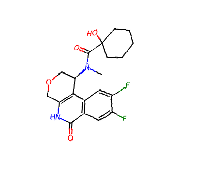 CN(C(=O)C1(O)CCCCC1)[C@@H]1COCc2[nH]c(=O)c3cc(F)c(F)cc3c21